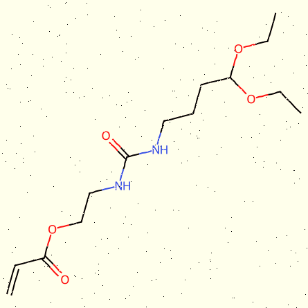 C=CC(=O)OCCNC(=O)NCCCC(OCC)OCC